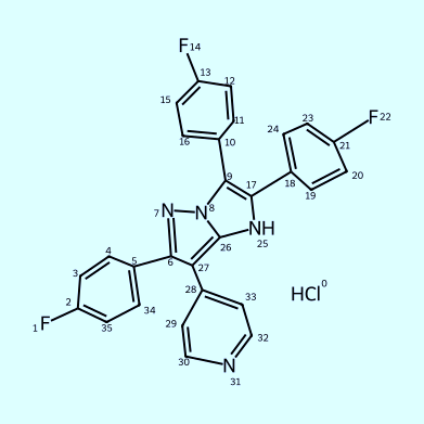 Cl.Fc1ccc(-c2nn3c(-c4ccc(F)cc4)c(-c4ccc(F)cc4)[nH]c3c2-c2ccncc2)cc1